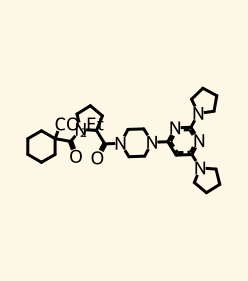 CCOC(=O)C1(C(=O)N2CCCC2C(=O)N2CCN(c3cc(N4CCCC4)nc(N4CCCC4)n3)CC2)CCCCC1